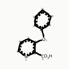 O=C(O)c1ncccc1Oc1ccccc1